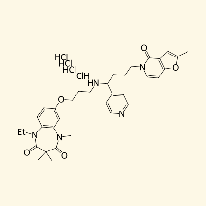 CCN1C(=O)C(C)(C)C(=O)N(C)c2cc(OCCCNC(CCCn3ccc4oc(C)cc4c3=O)c3ccncc3)ccc21.Cl.Cl.Cl.Cl